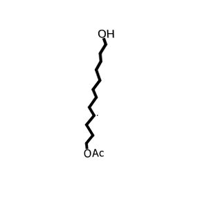 CC(=O)OCCC[CH]CCCCCCCCO